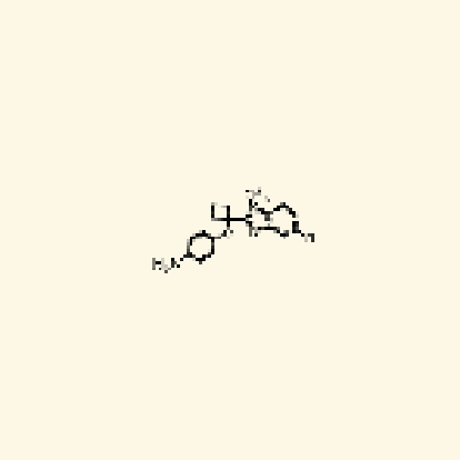 Cn1c(C2(Oc3ccc(N)cc3)CCC2)nc2cc(Cl)ccc21